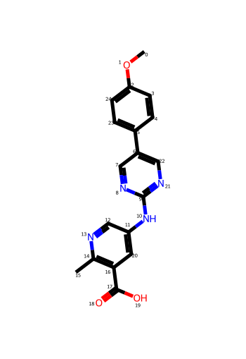 COc1ccc(-c2cnc(Nc3cnc(C)c(C(=O)O)c3)nc2)cc1